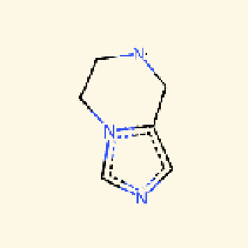 c1ncn2c1C[N]CC2